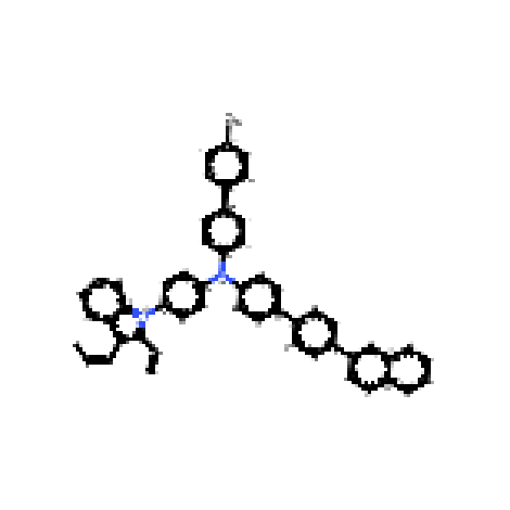 C=Cc1c(/C=C\C)c2ccccc2n1-c1ccc(N(c2ccc(-c3ccc(-c4ccc5ccccc5c4)cc3)cc2)c2ccc(-c3ccc(C(C)(C)C)cc3)cc2)cc1